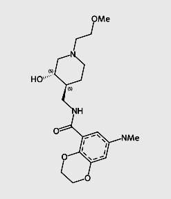 CNc1cc2c(c(C(=O)NC[C@@H]3CCN(CCOC)C[C@H]3O)c1)OCCO2